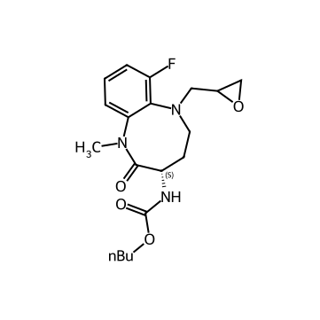 CCCCOC(=O)N[C@H]1CCN(CC2CO2)c2c(F)cccc2N(C)C1=O